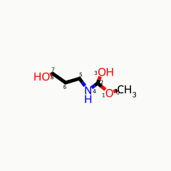 COC(O)NCCCO